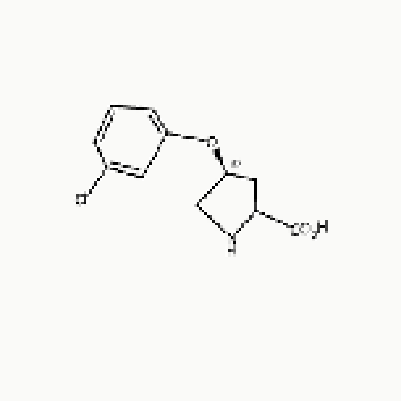 O=C(O)C1C[C@H](Oc2cccc(Cl)c2)CN1